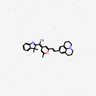 CC1=C/C(=C(/C#N)C2=Nc3ccccc3C2(C)C)C=C(C=Cc2cc3c4c(c2)CCCN4CCC3)O1